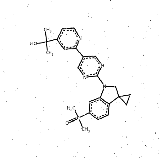 CC(C)(O)c1ccnc(-c2cnc(N3CC4(CC4)c4ccc(P(C)(C)=O)cc43)nc2)c1